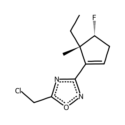 CC[C@@]1(C)C(c2noc(CCl)n2)=CC[C@H]1F